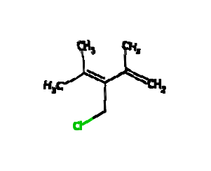 C=C(C)C(CCl)=C(C)C